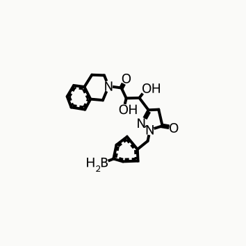 Bc1ccc(CN2N=C(C(O)C(O)C(=O)N3CCc4ccccc4C3)CC2=O)cc1